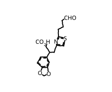 O=CCCCc1nc(CC(CC(=O)O)c2ccc3c(c2)OCO3)cs1